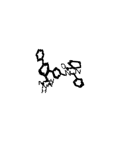 O=C1N(Cc2ccc(-c3cc(-c4ccccc4)ccc3-c3nn[nH]n3)cc2)C(c2ccccc2)=NC12CCCC2